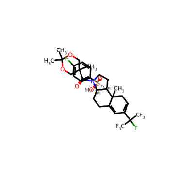 CC1(C)OCC(C)(C(=O)N2CC[C@]3(S(=O)(=O)c4ccc(F)cc4)[C@H]2CCC2=CC(C(F)(C(F)(F)F)C(F)(F)F)=CCC23C)CO1